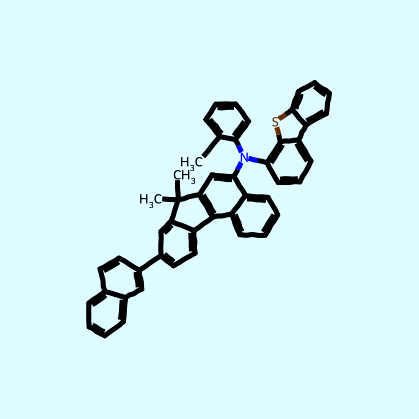 Cc1ccccc1N(c1cc2c(c3ccccc13)-c1ccc(-c3ccc4ccccc4c3)cc1C2(C)C)c1cccc2c1sc1ccccc12